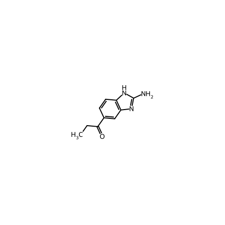 CCC(=O)c1ccc2[nH]c(N)nc2c1